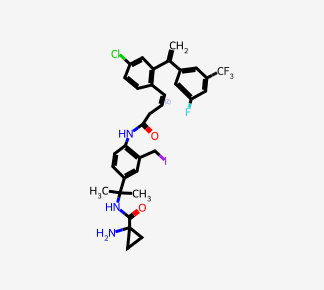 C=C(c1cc(F)cc(C(F)(F)F)c1)c1cc(Cl)ccc1/C=C\CC(=O)Nc1ccc(C(C)(C)NC(=O)C2(N)CC2)cc1CI